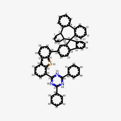 C1=CC2c3ccccc3-c3ccccc3C3(c4ccccc4-c4ccc(-c5cccc6c5sc5c(-c7nc(-c8ccccc8)nc(-c8ccccc8)n7)cccc56)cc43)C2C=C1